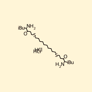 CCC(C)C(N)C(=O)CCSCCCCCCCCCCSCCC(=O)C(N)C(C)CC.Cl.Cl